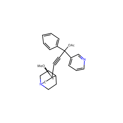 CO[C@]1(C#CC(OC(C)=O)(c2ccccc2)c2cccnc2)CN2CCC1CC2